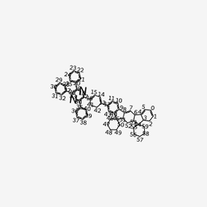 C1=CCC2C(=C1)C1C=C3c4ccc(C5=CC=C(c6nc(-c7ccccc7)c(-c7ccccc7)nc6-c6ccccc6)CC5)cc4C4(CCCCC4)C3CC1C21CCCCC1